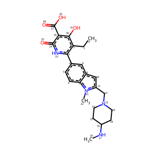 CCc1c(-c2ccc3c(c2)cc(CN2CCC(NC)CC2)n3C)[nH]c(=O)c(C(=O)O)c1O